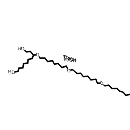 CCO.CCO.OCCCCCCCCOCCCCCCCCOCCCCCCCCOC(CCO)CCCCCCCO.[Ti]